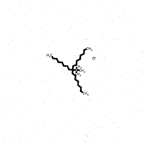 CCCCCCCCC(CCCCCCCC)(CCCCCCCC)[N+](C)(C)C.[Cl-]